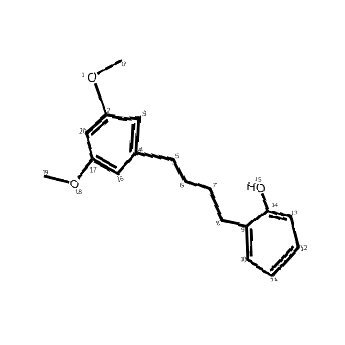 COc1cc(CCCCc2ccccc2O)cc(OC)c1